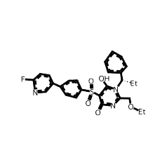 CCOCc1nc(=O)c(S(=O)(=O)c2ccc(-c3ccc(F)nc3)cc2)c(O)n1[C@@H](CC)c1ccccc1